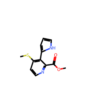 COC(=O)c1nccc(SC)c1-c1ccc[nH]1